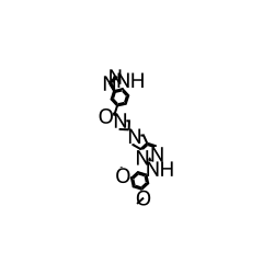 COc1cc(Nc2ncc3c(n2)CN(C2CN(C(=O)c4ccc5[nH]nnc5c4)C2)C3)cc(OC)c1